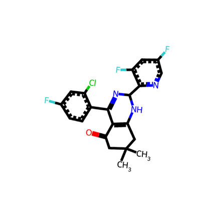 CC1(C)CC(=O)C2=C(C1)NC(c1ncc(F)cc1F)N=C2c1ccc(F)cc1Cl